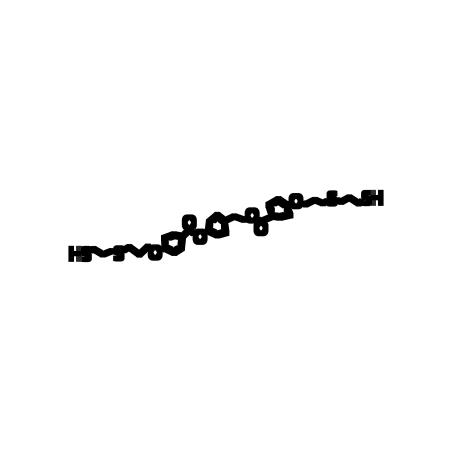 O=C(OCCc1ccc(OC(=O)c2ccc(OCCCSCCCS)cc2)cc1)c1ccc(OCCCSCCCS)cc1